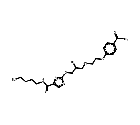 CCC(C)CCCCNC(=O)c1cnc(OCC(O)CNCCOc2ccc(C(N)=O)cc2)s1